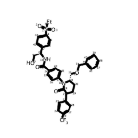 CCS(=O)(=O)c1ccc([C@H](CO)NC(=O)c2ccc(N3C(=O)C(c4ccc(C(F)(F)F)cc4)CC[C@H]3COCc3ccccc3)cc2)cc1